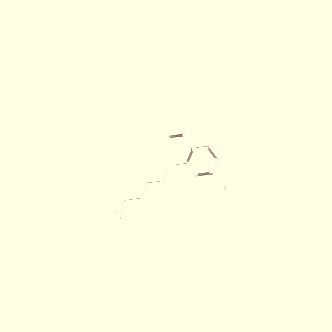 COC(=O)c1ccc(Br)cc1OCCCCN